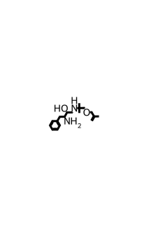 C=C(C)COCC(C)(C)NC[C@@H](O)[C@@H](N)Cc1ccccc1